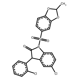 CC1Oc2ccc(S(=O)(=O)N3C(=O)C(c4ccccc4Cl)c4cc(Cl)ccc43)cc2O1